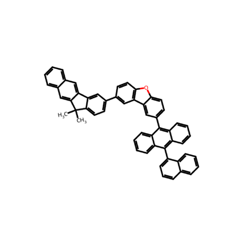 CC1(C)c2ccc(-c3ccc4oc5ccc(-c6c7ccccc7c(-c7cccc8ccccc78)c7ccccc67)cc5c4c3)cc2-c2cc3ccccc3cc21